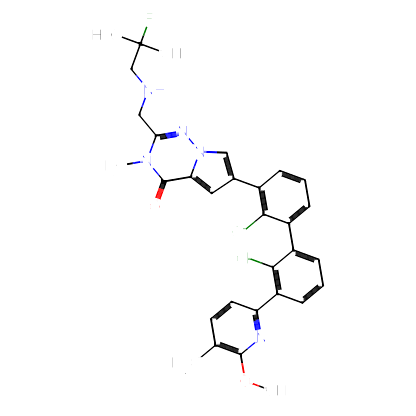 [CH2]c1ccc(-c2cccc(-c3cccc(-c4cc5c(=O)n(C)c(CNCC(C)(C)F)nn5c4)c3Cl)c2Cl)nc1OC